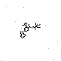 CCC(O)(CC)[C@H](F)CNC(=O)c1cnc(-n2ncc3cncnc32)cc1NC(C)C